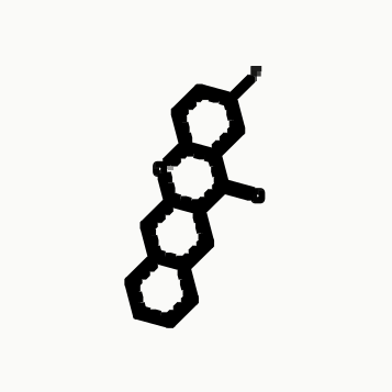 O=c1c2cc(F)ccc2oc2cc3ccccc3cc12